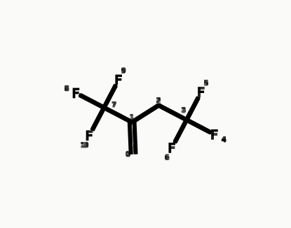 C=C(CC(F)(F)F)C(F)(F)F